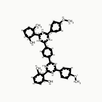 COc1ccc(-c2nc(-c3ccc(-c4nc(-c5ccc(OC)cc5)nc(-c5c(C)cccc5O)n4)cc3)nc(-c3c(C)cccc3O)n2)cc1